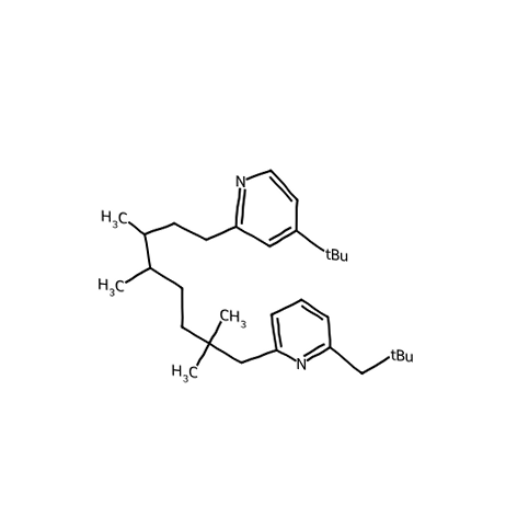 CC(CCc1cc(C(C)(C)C)ccn1)C(C)CCC(C)(C)Cc1cccc(CC(C)(C)C)n1